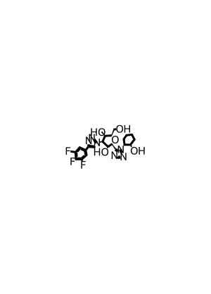 OC[C@H]1O[C@@H](c2ncnn2[C@@H]2CCCC[C@H]2O)[C@H](O)[C@@H](n2cc(-c3cc(F)c(F)c(F)c3)nn2)[C@H]1O